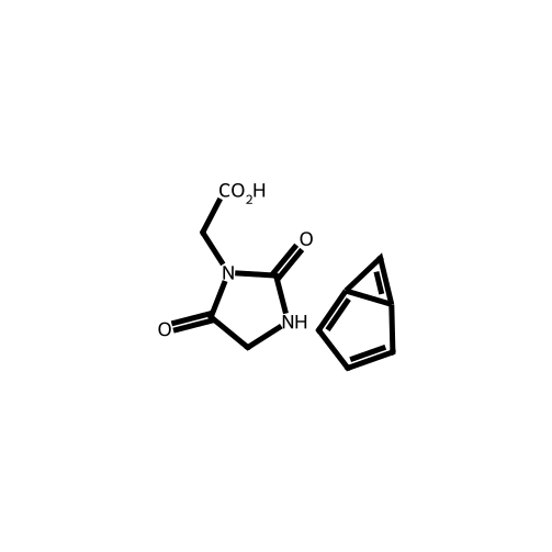 O=C(O)CN1C(=O)CNC1=O.c1cc2cc-2c1